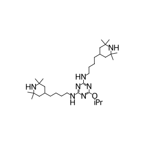 CC(C)Oc1nc(NCCCCC2CC(C)(C)NC(C)(C)C2)nc(NCCCCC2CC(C)(C)NC(C)(C)C2)n1